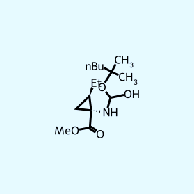 CCCCC(C)(C)OC(O)N[C@]1(C(=O)OC)C[C@H]1CC